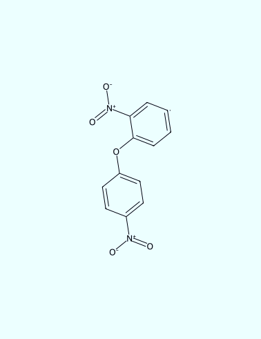 O=[N+]([O-])c1ccc(Oc2cc[c]cc2[N+](=O)[O-])cc1